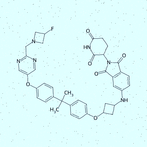 CC(C)(c1ccc(Oc2cnc(CN3CC(F)C3)nc2)cc1)c1ccc(OC2CC(Nc3ccc4c(c3)C(=O)N(C3CCC(=O)NC3=O)C4=O)C2)cc1